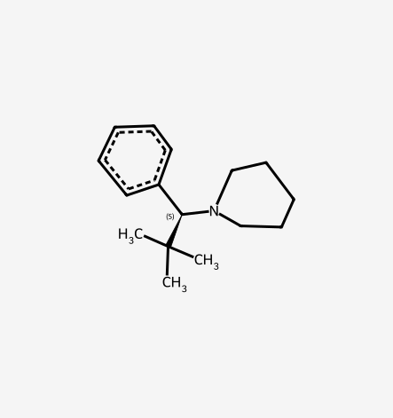 CC(C)(C)[C@@H](c1ccccc1)N1CCCCC1